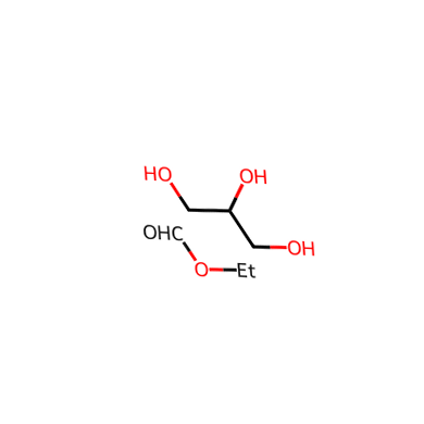 CCOC=O.OCC(O)CO